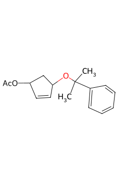 CC(=O)OC1C=CC(OC(C)(C)c2ccccc2)C1